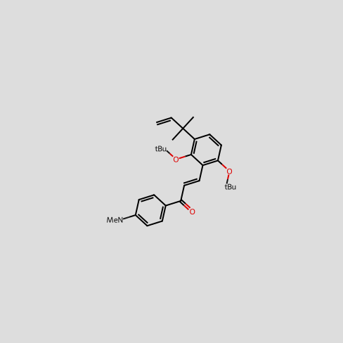 C=CC(C)(C)c1ccc(OC(C)(C)C)c(C=CC(=O)c2ccc(NC)cc2)c1OC(C)(C)C